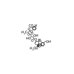 C[C@H](OC(=O)[C@H](O)[C@@H](O)C(=O)OC1=CC[C@@]2(O)[C@H]3Cc4ccc(CO)c5c4[C@@]2(CCN3C)[C@H]1O5)C(=O)O[C@H](C(=O)O)c1ccccc1